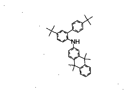 CC(C)(C)c1ccc(-c2cc(C(C)(C)C)ccc2Nc2ccc3c(c2)C(C)(C)c2ccccc2C3(C)C)cc1